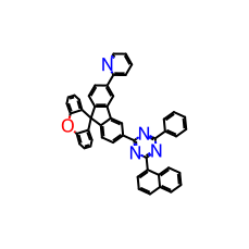 c1ccc(-c2nc(-c3ccc4c(c3)-c3cc(-c5ccccn5)ccc3C43c4ccccc4Oc4ccccc43)nc(-c3cccc4ccccc34)n2)cc1